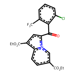 CCOC(=O)c1ccc2c(C(=O)OCC)cc(C(=O)c3c(Cl)cccc3C(F)(F)F)n2c1